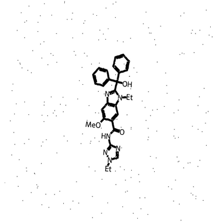 CCn1cnc(NC(=O)c2cc3c(cc2OC)nc(C(O)(c2ccccc2)c2ccccc2)n3CC)n1